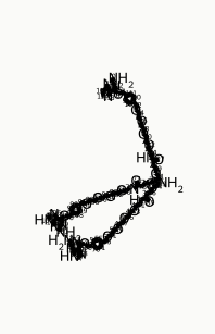 Nc1nc2c(c(OCc3ccc(COCCOCCOCCOCCNC(=O)CCOCC(N)(COCCC(=O)CCCOCCOCCOCCOCc4ccc(COc5nc(N)nc6[nH]cnc56)cc4)COCCC(=O)NCCOCCOCCOCCOCc4ccc(COc5nc(N)nc6[nH]cnc56)cc4)cc3)n1)N=CC2